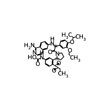 CCOc1cc([C@@H](Nc2ccc3c(N)nccc3c2)C(=O)N2CCC[C@H]2c2cc(NC(=O)O)ccc2S(=O)(=O)CC)ccc1OC(C)C